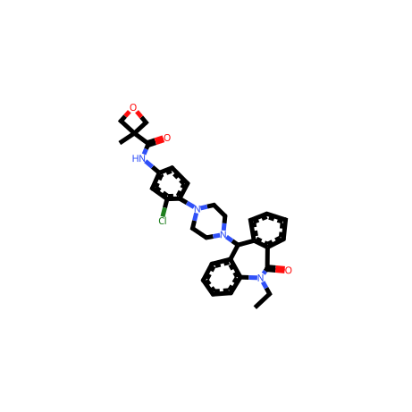 CCN1C(=O)c2ccccc2C(N2CCN(c3ccc(NC(=O)C4(C)COC4)cc3Cl)CC2)c2ccccc21